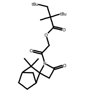 CC(C)(C)CC(C)(C(=O)OCC(=O)N1C(=O)CC12C1CCC(C1)C2(C)C)C(C)(C)C